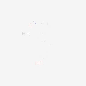 Cc1noc(C)c1-c1ccc(C(=C2CCCCCC2)c2ccc(O)cc2)cc1